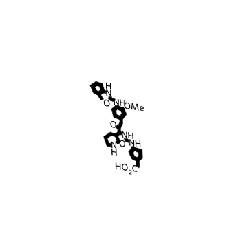 COc1cc(CC(=O)C(NC(=O)Nc2ccc(CC(=O)O)cc2)C2CCCNC2)ccc1NC(=O)Nc1ccccc1C